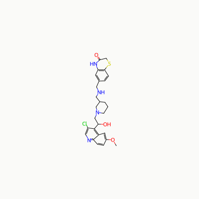 COc1ccc2ncc(Cl)c(C(O)CN3CCCC(CNCc4ccc5c(c4)NC(=O)CS5)C3)c2c1